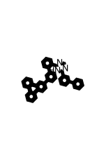 C1=NC(c2cccc(-c3ccccc3)c2)NC(c2ccccc2-c2cccc(-c3ccc4c5ccccc5c5ccccc5c4c3)c2)=N1